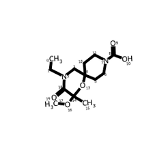 CCN1CC2(CCN(C(=O)O)CC2)OC(C)(OC)C1=O